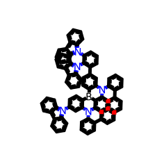 c1ccc(-c2ccccc2N2c3cc(-c4cccc(-n5c6ccccc6c6ccccc65)c4-n4c5ccccc5c5ccccc54)ccc3B3c4ccc(-n5c6ccccc6c6ccccc65)cc4N(c4ccccc4-c4ccccc4)c4cccc2c43)cc1